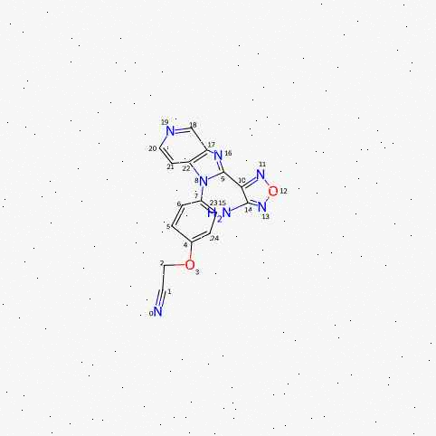 N#CCOc1ccc(-n2c(-c3nonc3N)nc3cnccc32)cc1